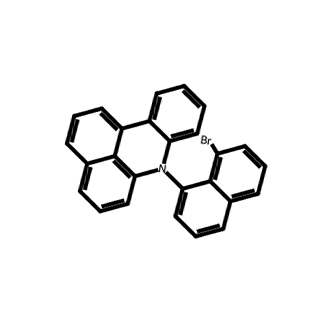 Brc1cccc2cccc(N3c4ccccc4-c4cccc5cccc3c45)c12